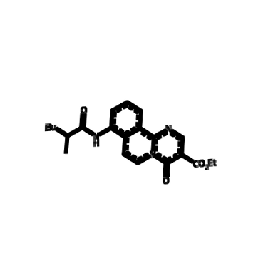 CCOC(=O)c1cnc2c3cccc(NC(=O)C(C)C(C)CC)c3ccn2c1=O